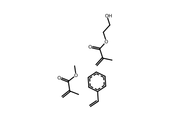 C=C(C)C(=O)OC.C=C(C)C(=O)OCCO.C=Cc1ccccc1